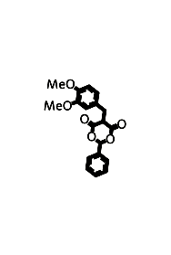 COc1ccc(CC2C(=O)OC(c3ccccc3)OC2=O)cc1OC